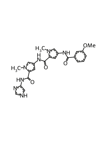 COc1cccc(C(=O)Nc2cc(C(=O)Nc3cc(C(=O)Nc4c[nH]cn4)n(C)c3)n(C)c2)c1